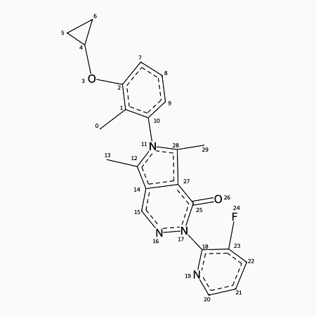 Cc1c(OC2CC2)cccc1-n1c(C)c2cnn(-c3ncccc3F)c(=O)c2c1C